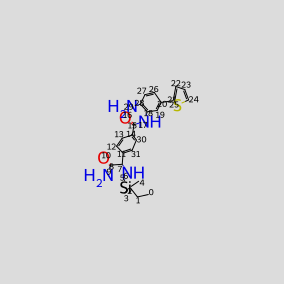 CC[Si](C)(C)CNC(C(N)=O)c1ccc(C(=O)Nc2cc(-c3cccs3)ccc2N)cc1